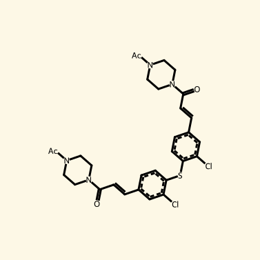 CC(=O)N1CCN(C(=O)C=Cc2ccc(Sc3ccc(C=CC(=O)N4CCN(C(C)=O)CC4)cc3Cl)c(Cl)c2)CC1